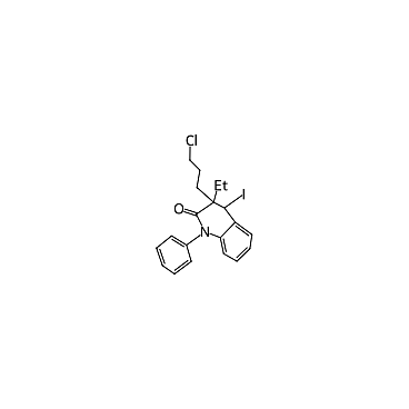 CCC1(CCCCl)C(=O)N(c2ccccc2)c2ccccc2C1I